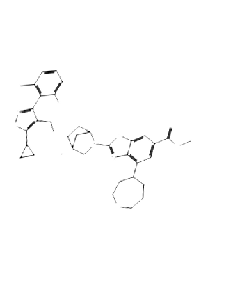 COC(=O)c1cc(C2CCCOCC2)c2nc(N3C[C@@H]4C[C@H]3C[C@H]4OCc3c(-c4c(Cl)cccc4Cl)noc3C3CC3)sc2c1